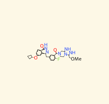 COCC(=N)N1CCN(C(=O)c2cc(Cc3n[nH]c(=O)c4ccc(OC5CCC5)cc34)ccc2F)CC1=N